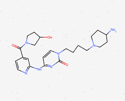 NC1CCN(CCCCn2ccc(Nc3cc(C(=O)N4CCC(O)C4)ccn3)nc2=O)CC1